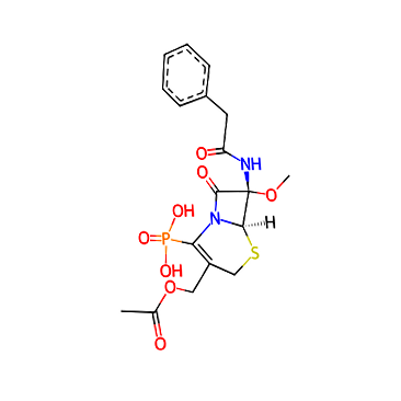 CO[C@@]1(NC(=O)Cc2ccccc2)C(=O)N2C(P(=O)(O)O)=C(COC(C)=O)CS[C@@H]21